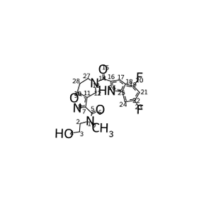 CN(CCO)C(=O)c1noc2c1CN(C(=O)c1cc3c(F)cc(F)cc3[nH]1)CC2